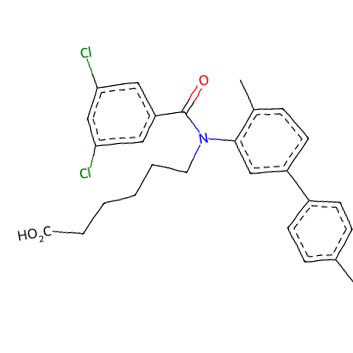 Cc1ccc(-c2ccc(C)c(N(CCCCCC(=O)O)C(=O)c3cc(Cl)cc(Cl)c3)c2)cc1